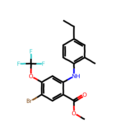 CCc1ccc(Nc2cc(OC(F)(F)F)c(Br)cc2C(=O)OC)c(C)c1